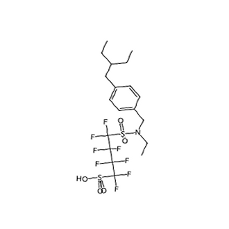 CCC(CC)Cc1ccc(CN(CC)S(=O)(=O)C(F)(F)C(F)(F)C(F)(F)C(F)(F)S(=O)(=O)O)cc1